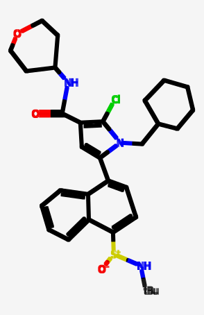 CC(C)(C)N[S+]([O-])c1ccc(-c2cc(C(=O)NC3CCOCC3)c(Cl)n2CC2CCCCC2)c2ccccc12